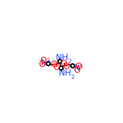 Nc1ccc(-c2ccc(N)cc2C(=O)OCc2ccc([N+](=O)[O-])cc2)c(C(=O)OCc2ccc([N+](=O)[O-])cc2)c1